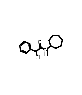 O=C(NC1CCCCCC1)C(Cl)c1ccccc1